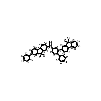 CC1(C)c2cc(Nc3ccc(-c4ccccc4)c(-c4ccc5c(c4)C(C)(C)c4ccccc4-5)c3)ccc2-c2ccc(-c3ccccc3)cc21